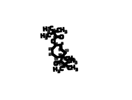 CC(C)(C)C(=O)OC1/C=C/CC(C)(C(=O)C(C)(C)C)CCC1